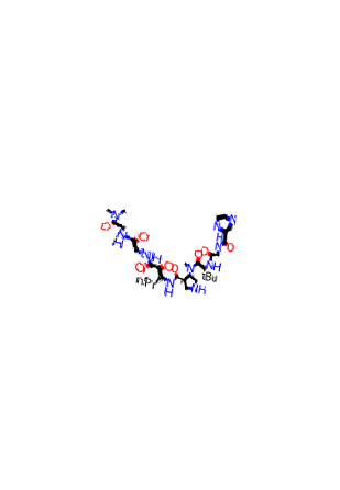 CCC[C@H](NC(=O)[C@@H]1CNC[C@@H]1N(C)C(=O)[C@@H](NC(=O)CNC(=O)c1cnccn1)C(C)(C)C)C(=O)C(=O)NCC(=O)NCC(=O)N(C)C